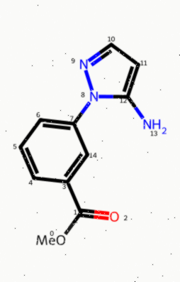 COC(=O)c1cccc(-n2nccc2N)c1